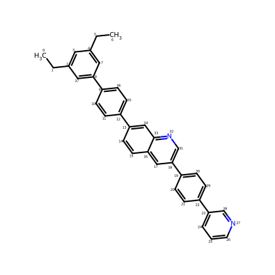 CCc1cc(CC)cc(-c2ccc(-c3ccc4cc(-c5ccc(-c6cccnc6)cc5)cnc4c3)cc2)c1